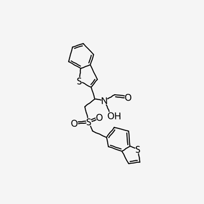 O=CN(O)C(CS(=O)(=O)Cc1ccc2sccc2c1)c1cc2ccccc2s1